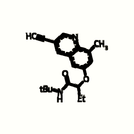 C#Cc1cnc2c(C)cc(OC(CC)C(=O)NC(C)(C)C)cc2c1